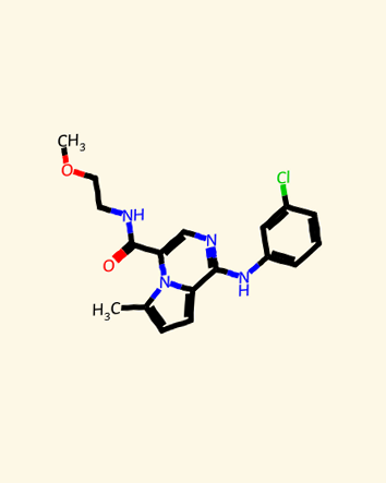 COCCNC(=O)c1cnc(Nc2cccc(Cl)c2)c2ccc(C)n12